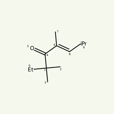 CCC(C)(C)C(=O)C(C)=CC(C)C